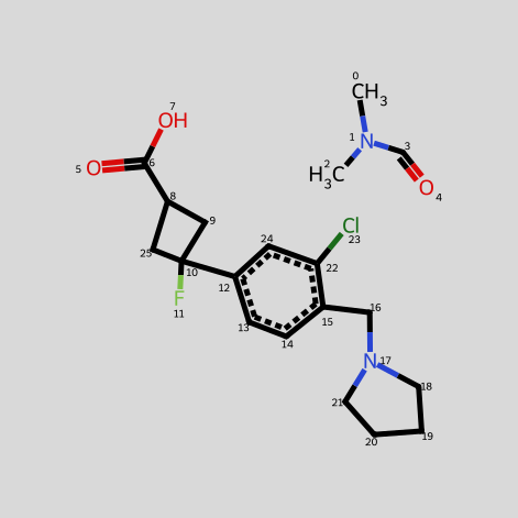 CN(C)C=O.O=C(O)C1CC(F)(c2ccc(CN3CCCC3)c(Cl)c2)C1